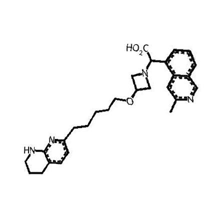 Cc1cc2c(C(C(=O)O)N3CC(OCCCCCc4ccc5c(n4)NCCC5)C3)cccc2cn1